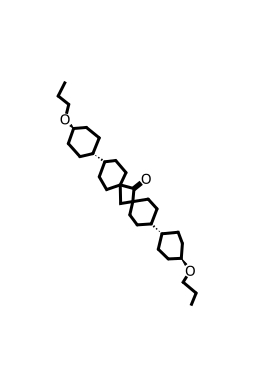 CCCO[C@H]1CC[C@H](C2CCC3(CC2)CC2(CCC([C@H]4CC[C@H](OCCC)CC4)CC2)C3=O)CC1